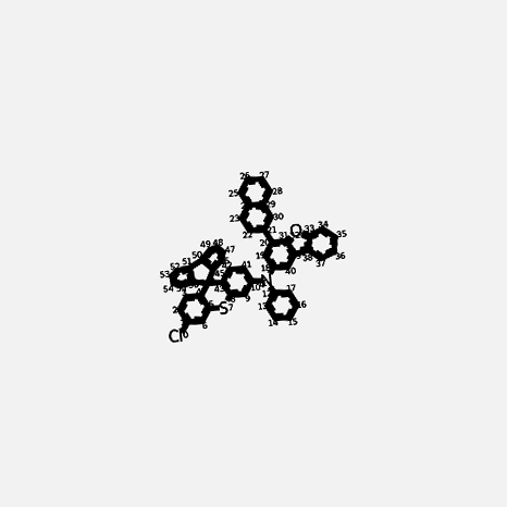 Clc1ccc2c(c1)Sc1cc(N(c3ccccc3)c3cc(-c4ccc5ccccc5c4)c4oc5ccccc5c4c3)ccc1C21c2ccccc2-c2ccccc21